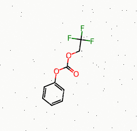 O=C(O[CH]C(F)(F)F)Oc1ccccc1